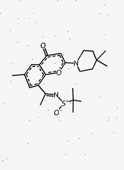 CC(=N[S+]([O-])C(C)(C)C)c1cc(C)cc2c(=O)cc(N3CCC(C)(C)CC3)oc12